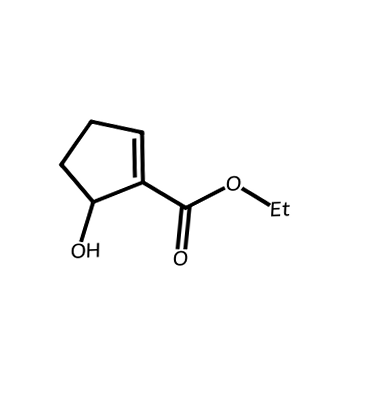 CCOC(=O)C1=CCCC1O